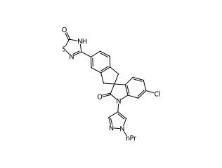 CCCn1cc(N2C(=O)C3(Cc4ccc(-c5nsc(=O)[nH]5)cc4C3)c3ccc(Cl)cc32)cn1